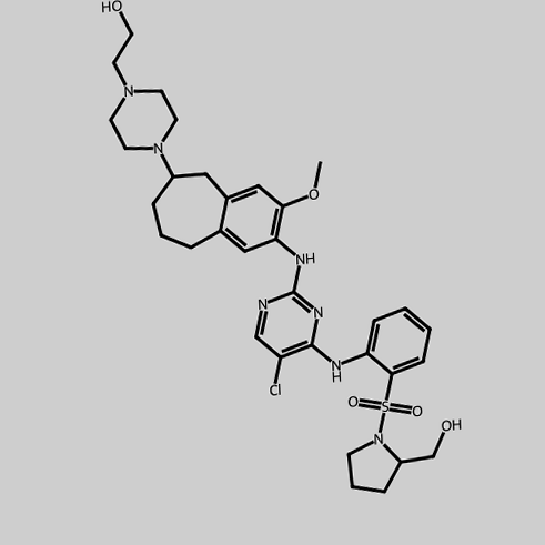 COc1cc2c(cc1Nc1ncc(Cl)c(Nc3ccccc3S(=O)(=O)N3CCCC3CO)n1)CCCC(N1CCN(CCO)CC1)C2